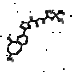 CC1/C=C\c2ccc(-c3csc(NC(=O)CNC(=O)OC(C)(C)C)n3)cc2C(=O)CC1